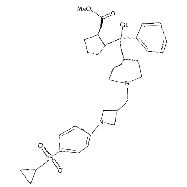 COC(=O)[C@@H]1CCCC1C(C#N)(c1ccccc1)C1CCN(CC2CN(c3ccc(S(=O)(=O)C4CC4)cc3)C2)CC1